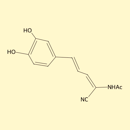 CC(=O)NC(C#N)=CC=Cc1ccc(O)c(O)c1